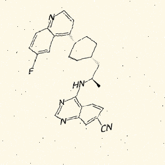 C[C@H](C[C@H]1CC[C@@H](c2ccnc3ccc(F)cc32)CC1)Nc1ncnc2cc(C#N)ccc12